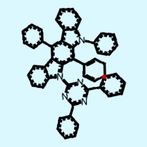 C1=CC(c2c3c(c(-c4ccccc4)c4c5ccccc5n(-c5nc(-c6ccccc6)nc(-c6ccccc6)n5)c24)c2ccccc2n3-c2ccccc2)=CCC1